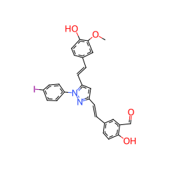 COc1cc(/C=C/c2cc(/C=C/c3ccc(O)c(C=O)c3)nn2-c2ccc(I)cc2)ccc1O